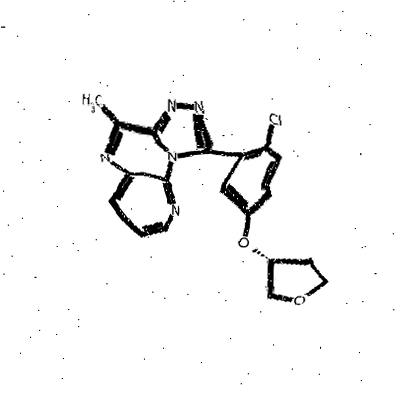 Cc1nc2cccnc2n2c(-c3cc(O[C@@H]4CCOC4)ccc3Cl)nnc12